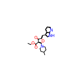 CCOC(=O)C1=C(N2CCC(C)CC2)O/C(=C\c2c[nH]c3ncccc23)C1=O